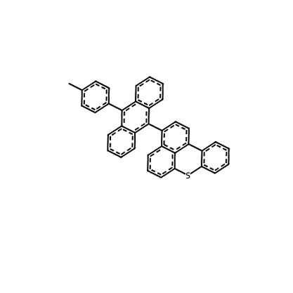 Cc1ccc(-c2c3ccccc3c(-c3ccc4c5c(cccc35)Sc3ccccc3-4)c3ccccc23)cc1